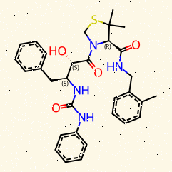 Cc1ccccc1CNC(=O)[C@H]1N(C(=O)[C@@H](O)[C@H](Cc2ccccc2)NC(=O)Nc2ccccc2)CSC1(C)C